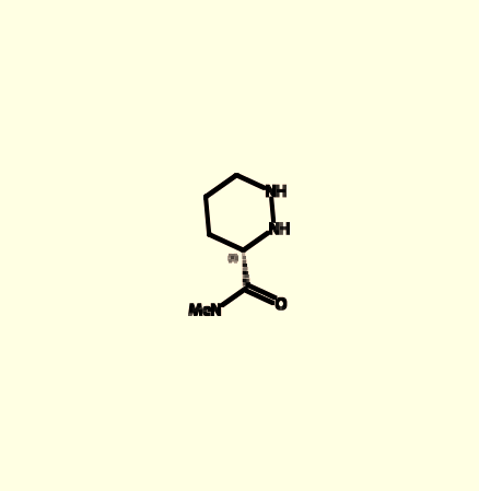 CNC(=O)[C@@H]1CCCNN1